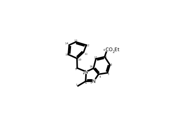 CCOC(=O)c1ccc2nc(C)n(Cc3ccccc3)c2c1